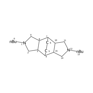 CCCCN1CC2C3CCC(C2C1)C1CN(CCCC)CC31